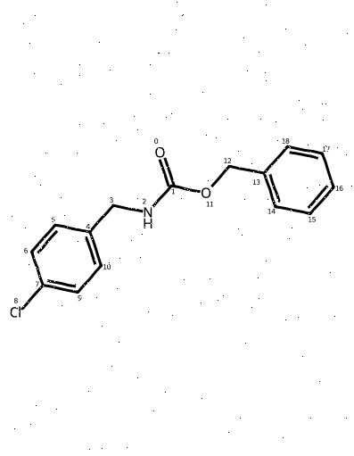 O=C(NCc1ccc(Cl)cc1)OCc1ccccc1